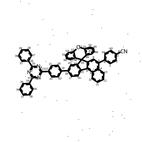 N#Cc1ccc(-c2cc3c(c4ccccc24)-c2ccc(-c4ccc(-c5nc(-c6ccccc6)nc(-c6ccccc6)n5)cc4)cc2C32c3ccccc3Oc3ccccc32)cc1